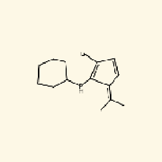 [Li][C]1=C(PC2CCCCC2)C(=C(C)C)C=C1